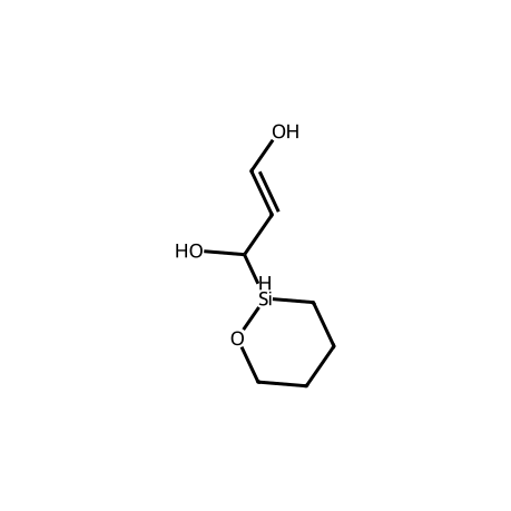 OC=CC(O)[SiH]1CCCCO1